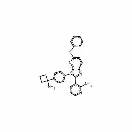 Nc1ncccc1-c1nc2ccc(Sc3ccccc3)nc2n1-c1ccc(C2(N)CCC2)cc1